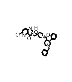 O=C(C1CCN(Cc2ccccc2)CC1c1ccccc1)N1CCC(O)(Cn2cnc3ccc(Cl)nc3c2=O)CC1